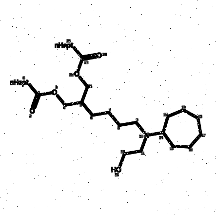 CCCCCCCC(=O)OCC(CCCCN(CCO)C1CCCCCC1)COC(=O)CCCCCCC